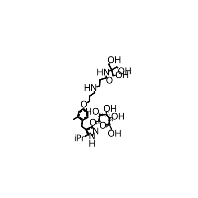 Cc1cc(OCCCNCCC(=O)NC(CO)(CO)CO)ccc1Cc1c(O[C@@H]2O[C@H](CO)[C@@H](O)[C@H](O)[C@H]2O)n[nH]c1C(C)C